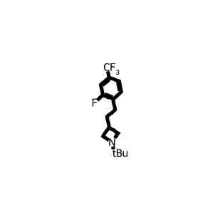 CC(C)(C)N1CC(CCc2ccc(C(F)(F)F)cc2F)C1